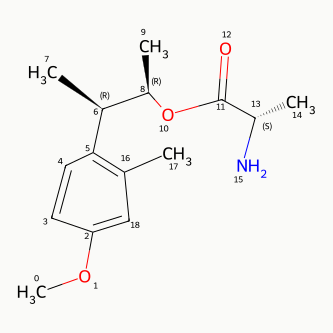 COc1ccc([C@@H](C)[C@@H](C)OC(=O)[C@H](C)N)c(C)c1